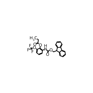 CCC(=O)Oc1c(NC(=O)OCC2c3ccccc3-c3ccccc32)cccc1OC(F)(F)F